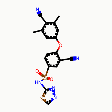 Cc1cc(Oc2ccc(S(=O)(=O)Nc3nncs3)cc2C#N)cc(C)c1C#N